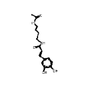 CC(=O)NCCCCNC(=O)C=Cc1ccc(O)c(O)c1